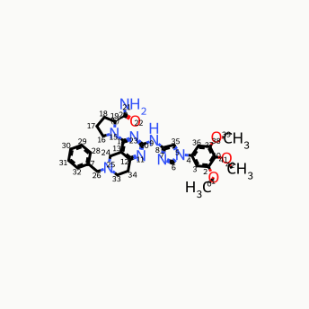 COc1cc(-n2cnc(Nc3nc4c(c(N5CCC[C@H]5C(N)=O)n3)CN(Cc3ccccc3)CC4)c2)cc(OC)c1OC